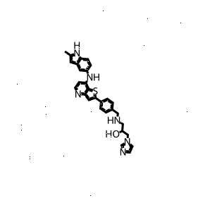 Cc1cc2cc(Nc3ccnc4cc(-c5ccc(CNCC(O)Cn6ccnc6)cc5)sc34)ccc2[nH]1